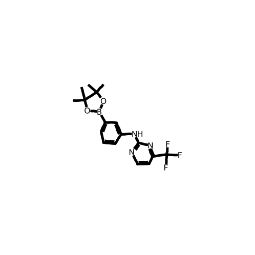 CC1(C)OB(c2cccc(Nc3nccc(C(F)(F)F)n3)c2)OC1(C)C